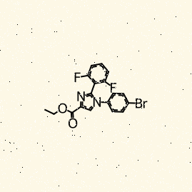 CCOC(=O)c1cn(-c2ccc(Br)cc2)c(-c2c(F)cccc2F)n1